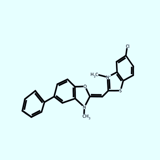 CN1/C(=C/c2sc3ccc(Cl)cc3[n+]2C)Oc2ccc(-c3ccccc3)cc21